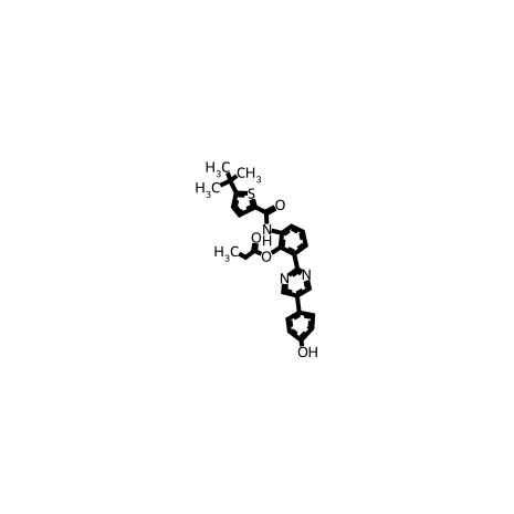 CCC(=O)Oc1c(NC(=O)c2ccc(C(C)(C)C)s2)cccc1-c1ncc(-c2ccc(O)cc2)cn1